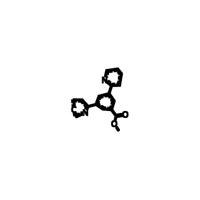 COC(=O)c1cc(-c2ccccn2)cc(-c2ccccn2)c1